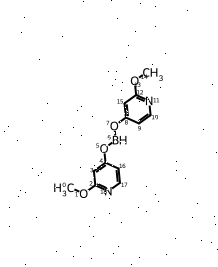 COc1cc(OBOc2ccnc(OC)c2)ccn1